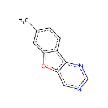 Cc1ccc2c(c1)oc1cncnc12